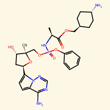 C[C@H](NP(=O)(OC[C@@]1(C#N)O[C@@H](c2ccc3c(N)ncnn23)C[C@@H]1O)Oc1ccccc1)C(=O)OC[C@H]1CC[C@H](N)CC1